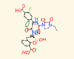 CCN1CCN(C(=O)N[C@@H](C(=O)N[C@H]2Cc3cccc(C(=O)O)c3OB2O)c2cc(F)c(C(=O)O)cc2Cl)C(=O)C1=O